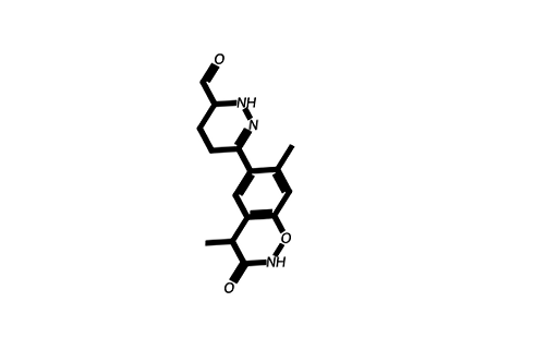 Cc1cc2c(cc1C1=NNC(C=O)CC1)C(C)C(=O)NO2